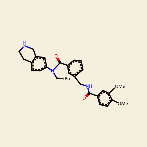 COc1ccc(C(=O)NCc2cccc(C(=O)N(CC(C)(C)C)c3ccc4c(c3)CNCC4)c2)cc1OC